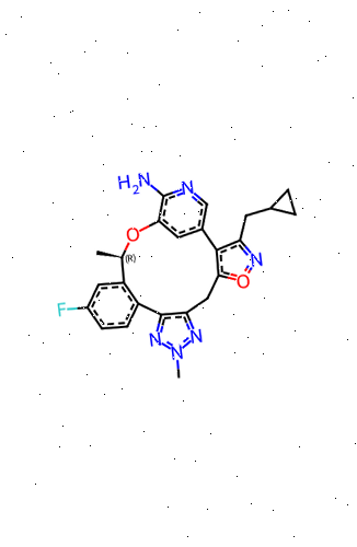 C[C@H]1Oc2cc(cnc2N)-c2c(CC3CC3)noc2Cc2nn(C)nc2-c2ccc(F)cc21